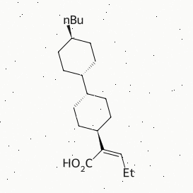 CCC=C(C(=O)O)[C@H]1CC[C@H]([C@H]2CC[C@H](CCCC)CC2)CC1